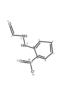 O=CNNc1ccccc1[N+](=O)[O-]